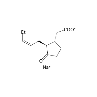 CC/C=C\C[C@@H]1C(=O)CC[C@H]1CC(=O)[O-].[Na+]